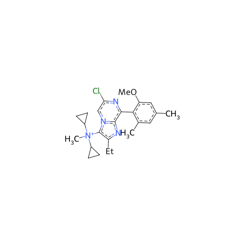 CCc1nc2c(-c3c(C)cc(C)cc3OC)nc(Cl)cn2c1[N+](C)(C1CC1)C1CC1